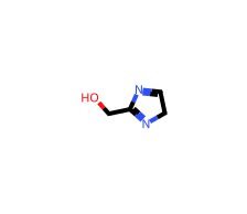 OCC1=NCC=N1